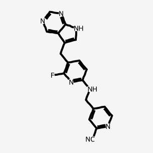 N#Cc1cc(CNc2ccc(Cc3c[nH]c4ncncc34)c(F)n2)ccn1